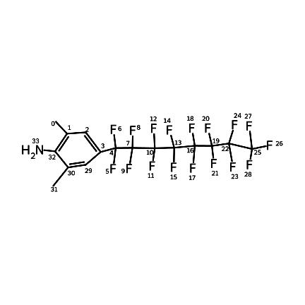 Cc1cc(C(F)(F)C(F)(F)C(F)(F)C(F)(F)C(F)(F)C(F)(F)C(F)(F)C(F)(F)F)cc(C)c1N